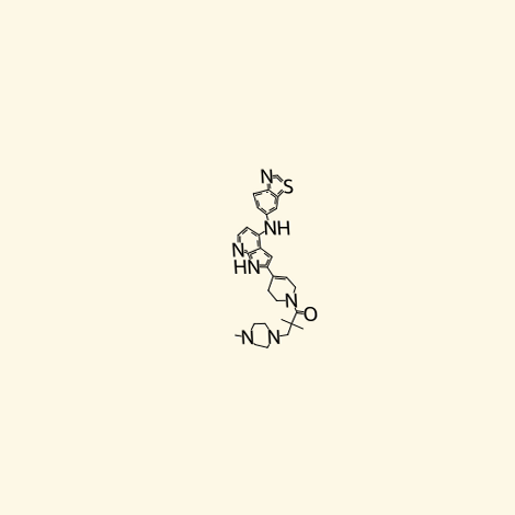 CN1CCN(CC(C)(C)C(=O)N2CC=C(c3cc4c(Nc5ccc6ncsc6c5)ccnc4[nH]3)CC2)CC1